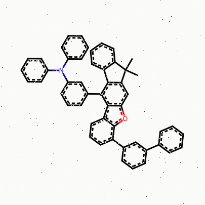 CC1(C)c2ccccc2-c2c1cc1oc3c(-c4cccc(-c5ccccc5)c4)cccc3c1c2-c1cccc(N(c2ccccc2)c2ccccc2)c1